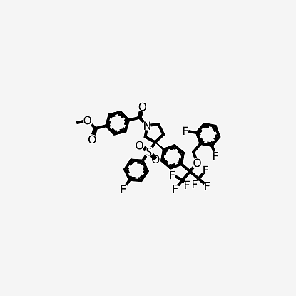 COC(=O)c1ccc(C(=O)N2CC[C@](c3ccc(C(OCc4c(F)cccc4F)(C(F)(F)F)C(F)(F)F)cc3)(S(=O)(=O)c3ccc(F)cc3)C2)cc1